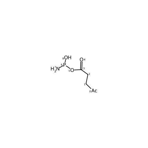 CC(=O)CCC(=O)OP(N)O